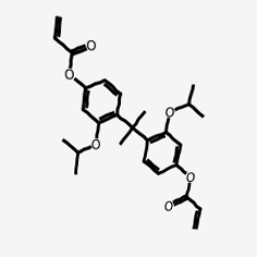 C=CC(=O)Oc1ccc(C(C)(C)c2ccc(OC(=O)C=C)cc2OC(C)C)c(OC(C)C)c1